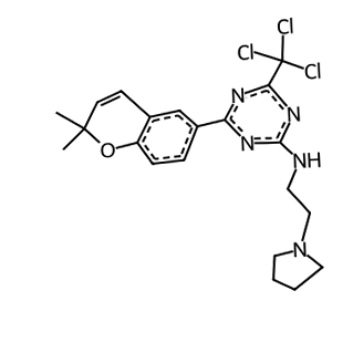 CC1(C)C=Cc2cc(-c3nc(NCCN4CCCC4)nc(C(Cl)(Cl)Cl)n3)ccc2O1